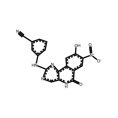 N#Cc1cccc(Nc2ncc3[nH]c(=O)c4cc([N+](=O)[O-])c(O)cc4c3n2)c1